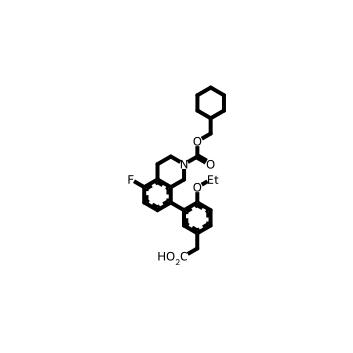 CCOc1ccc(CC(=O)O)cc1-c1ccc(F)c2c1CN(C(=O)OCC1CCCCC1)CC2